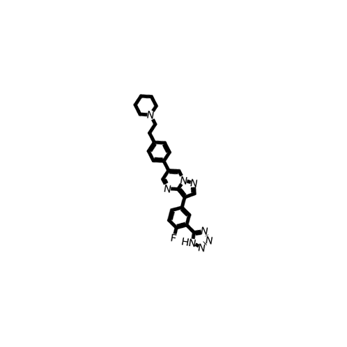 Fc1ccc(-c2cnn3cc(-c4ccc(CCN5CCCCC5)cc4)cnc23)cc1-c1nnn[nH]1